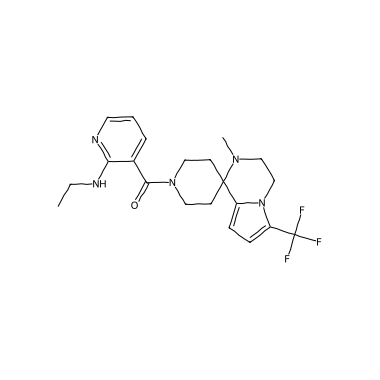 CCNc1ncccc1C(=O)N1CCC2(CC1)c1ccc(C(F)(F)F)n1CCN2C